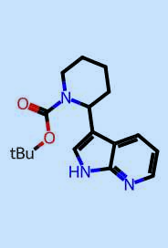 CC(C)(C)OC(=O)N1CCCCC1c1c[nH]c2ncccc12